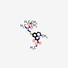 CCOC(=O)c1cn2c3c(cc(SCCN(CC)C(=O)OC(C)(C)C)cc3c1=O)CCC2C